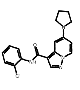 O=C(Nc1ccccc1Cl)c1cnn2ccc(N3CCCC3)cc12